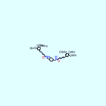 COc1cc(/C=C/C=C/C(=O)NCC2CCC(CNC(=O)/C=C/C=C/c3cc(OC)c(OC)c(OC)c3)CC2)cc(OC)c1OC